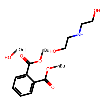 CCCCCCCCO.CCCCOC(=O)c1ccccc1C(=O)OCCCC.OCCNCCO